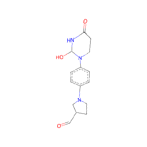 O=CC1CCN(c2ccc(N3CCC(=O)NC3O)cc2)C1